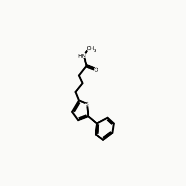 CNC(=O)CCCc1ccc(-c2ccccc2)s1